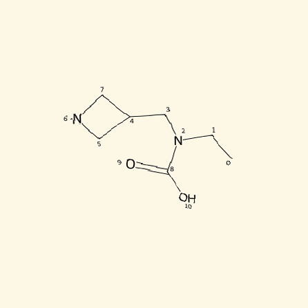 CCN(CC1C[N]C1)C(=O)O